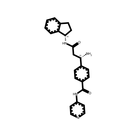 N[C@@H](CC(=O)N[C@H]1CCc2ccccc21)c1ccc(C(=O)Nc2ccncc2)cc1